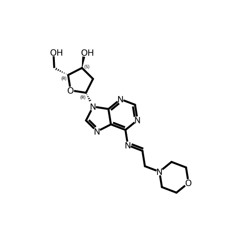 OC[C@H]1O[C@@H](n2cnc3c(N=CCN4CCOCC4)ncnc32)C[C@@H]1O